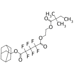 CCC(C)(C)C(=O)OCCOC(=O)C(F)(F)C(F)(F)C(F)(F)C(=O)OC12CC3CC(CC(C3)C1)C2